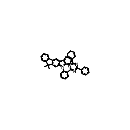 CC1(C)c2ccccc2-c2cc3c4ccccc4n(-c4ccccc4-c4nc(C5=CCCC=C5)nc(-c5ccccc5)n4)c3cc21